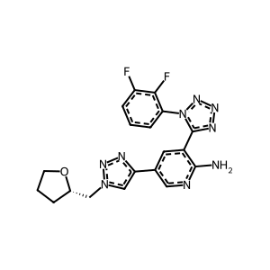 Nc1ncc(-c2cn(C[C@@H]3CCCO3)nn2)cc1-c1nnnn1-c1cccc(F)c1F